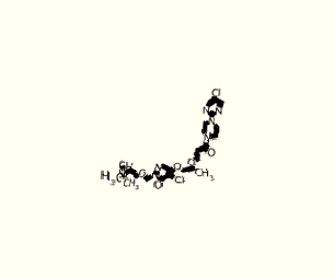 C[C@@H](COc1cnn(COCC[Si](C)(C)C)c(=O)c1Cl)OCCC(=O)N1CCN(c2ncc(Cl)cn2)CC1